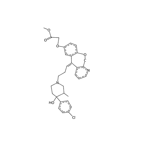 COC(=O)COc1ccc2c(c1)/C(=C/CCN1CCC(O)(c3ccc(Cl)cc3)C(C)C1)c1cccnc1CO2